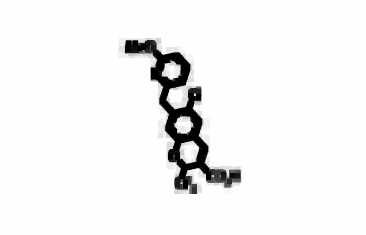 COc1cccc(Cc2cc3c(cc2Cl)C=C(C(=O)O)C(C(F)(F)F)O3)n1